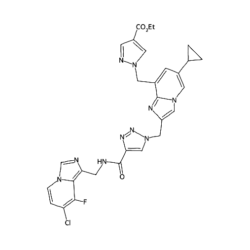 CCOC(=O)c1cnn(Cc2cc(C3CC3)cn3cc(Cn4cc(C(=O)NCc5ncn6ccc(Cl)c(F)c56)nn4)nc23)c1